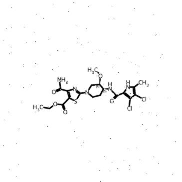 CCOC(=O)c1sc(N2CC[C@H](NC(=O)c3[nH]c(C)c(Cl)c3Cl)[C@H](OC)C2)nc1C(N)=O